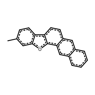 Cc1ccc2c(c1)oc1c3cc4ccccc4cc3ccc21